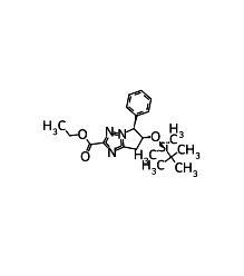 CCOC(=O)c1nc2n(n1)[C@@H](c1ccccc1)[C@@H](O[Si](C)(C)C(C)(C)C)C2